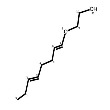 CC/C=C/CC/C=C/OCCO